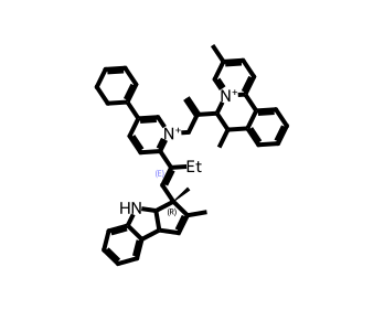 C=C(C[n+]1cc(C2=CC=CCC2)ccc1/C(=C/[C@]1(C)C(C)=CC2c3ccccc3NC21)CC)C1C(C)c2ccccc2-c2ccc(C)c[n+]21